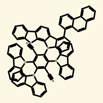 N#Cc1c(-n2c3ccccc3c3ccccc32)c(-n2c3ccccc3c3ccccc32)c(C#N)c(-n2c3cccc(-c4cccc5c4ccc4ccccc45)c3c3ccc4c5ccccc5sc4c32)c1-n1c2ccccc2c2ccccc21